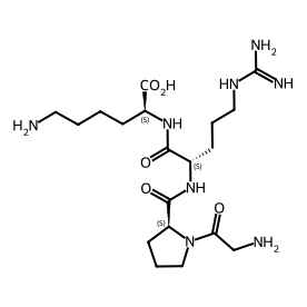 N=C(N)NCCC[C@H](NC(=O)[C@@H]1CCCN1C(=O)CN)C(=O)N[C@@H](CCCCN)C(=O)O